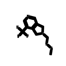 CSSCN1Cc2cncc(C(F)(F)F)c2C1